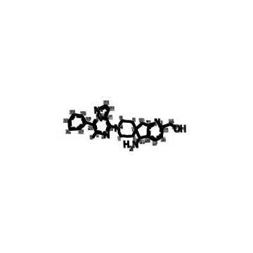 Cc1nc(N2CCC3(CC2)Cc2nc(CO)ccc2[C@H]3N)c2ccnn2c1-c1ccccc1